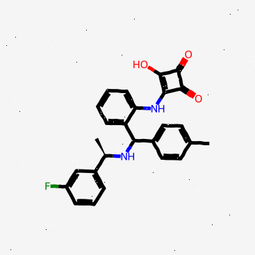 Cc1ccc(C(N[C@H](C)c2cccc(F)c2)c2ccccc2Nc2c(O)c(=O)c2=O)cc1